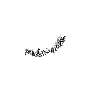 CC1(C)[C@H](NC(=O)c2cnc(N3CCC(CN4CCN(c5ccc6c(=O)n([C@H]7CCC(=O)NC7=O)ncc6c5)CC4)C3)nc2)C(C)(C)[C@H]1Oc1ccc(C#N)c(Cl)c1